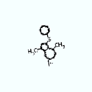 Cc1cc(Sc2ccccc2)c2c(C)ccc(C(C)C)cc1-2